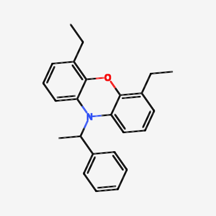 CCc1cccc2c1Oc1c(CC)cccc1N2C(C)c1ccccc1